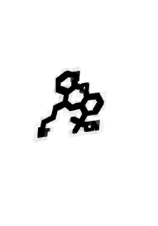 CC(C)(C#N)C1C=CC=C2Oc3ncccc3C(=CCCBr)C=C21